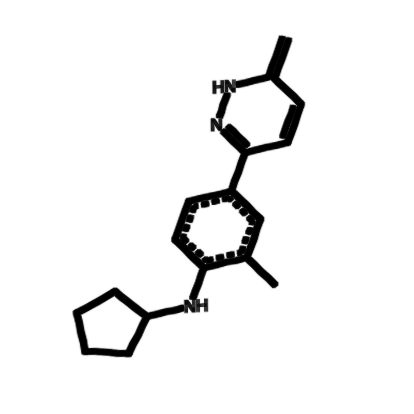 C=C1C=CC(c2ccc(NC3CCCC3)c(C)c2)=NN1